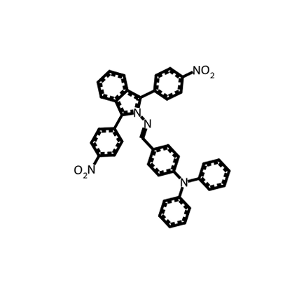 O=[N+]([O-])c1ccc(-c2c3ccccc3c(-c3ccc([N+](=O)[O-])cc3)n2N=Cc2ccc(N(c3ccccc3)c3ccccc3)cc2)cc1